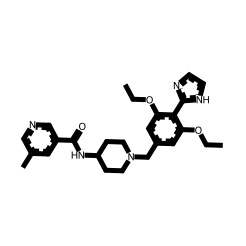 CCOc1cc(CN2CCC(NC(=O)c3cncc(C)c3)CC2)cc(OCC)c1-c1ncc[nH]1